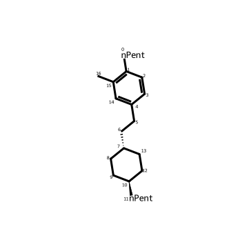 CCCCCc1ccc(CC[C@H]2CC[C@H](CCCCC)CC2)cc1C